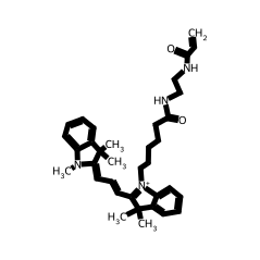 C=CC(=O)NCCNC(=O)CCCCC[N+]1=C(/C=C/C=C2/N(C)c3ccccc3C2(C)C)C(C)(C)c2ccccc21